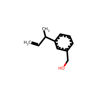 C=C[C](C)c1cccc(CO)c1